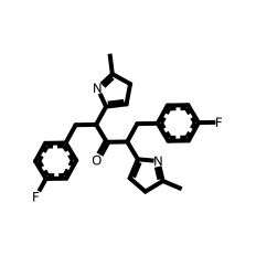 CC1=NC(C(Cc2ccc(F)cc2)C(=O)C(Cc2ccc(F)cc2)C2=CCC(C)=N2)=CC1